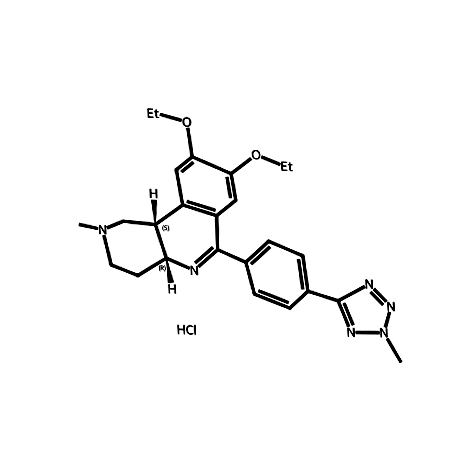 CCOc1cc2c(cc1OCC)[C@H]1CN(C)CC[C@H]1N=C2c1ccc(-c2nnn(C)n2)cc1.Cl